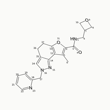 Cc1c(C(=O)NCC2COC2)oc2c1-c1nn(Cc3ccccn3)cc1CC2